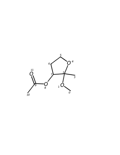 COC1(C)OCCC1OC(C)=O